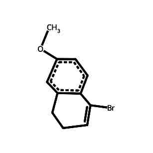 COc1ccc2c(c1)CCC=C2Br